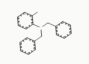 Clc1ccc[c]c1N(Cc1ccccc1)Cc1ccccc1